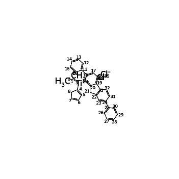 C[C](C)=[Ti+2]([C]1=CC=CC1)[c]1c(-c2ccccc2)ccc2c1Cc1cc(-c3ccccc3)ccc1-2.[Cl-].[Cl-]